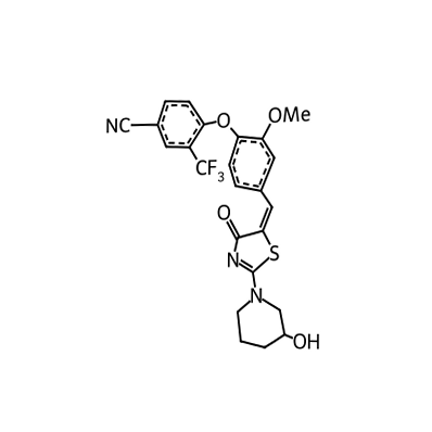 COc1cc(C=C2SC(N3CCCC(O)C3)=NC2=O)ccc1Oc1ccc(C#N)cc1C(F)(F)F